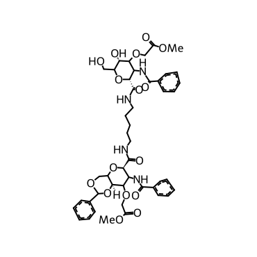 COC(=O)COC1C(NC(=O)c2ccccc2)[C@H](C(=O)NCCCCCNC(=O)[C@@H]2OC3COC(c4ccccc4)O[C@@H]3C(OCC(=O)OC)C2NC(=O)c2ccccc2)OC(CO)[C@@H]1O